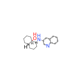 O[C@]12CCCC[C@@H]1CCC[C@H]2Nc1cnc2ccccc2c1